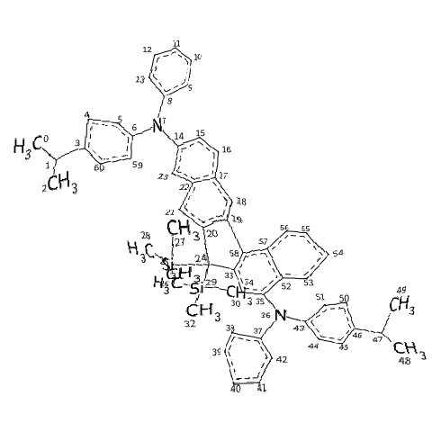 CC(C)c1ccc(N(c2ccccc2)c2ccc3cc4c(cc3c2)C([Si](C)(C)C)([Si](C)(C)C)c2cc(N(c3ccccc3)c3ccc(C(C)C)cc3)c3ccccc3c2-4)cc1